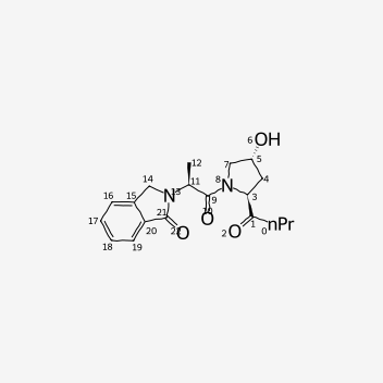 CCCC(=O)[C@@H]1C[C@@H](O)CN1C(=O)[C@H](C)N1Cc2ccccc2C1=O